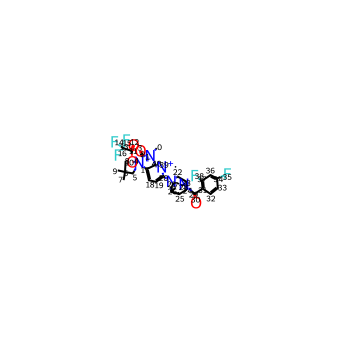 CN1C(=O)[N+](CC(C)(C)C)(OC(=O)C(F)(F)F)C2=CC=C(N3CC4CCC3CN4C(=O)c3ccc(F)cc3F)[N+]=C21